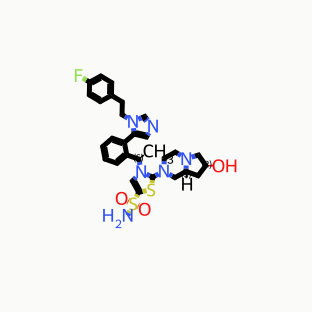 C[C@@H](c1ccccc1-c1cncn1CCc1ccc(F)cc1)N1C=C(S(N)(=O)=O)SC1N1CCN2C[C@H](O)C[C@H]2C1